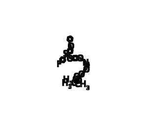 CC(C)(C)OC(=O)COCCO[C@@H]1CCN(CCOc2ccc(Oc3c(-c4ccc(F)cc4)sc4cc(OCc5ccccc5)ccc34)cc2)C1